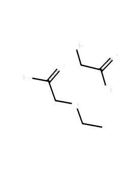 CCOCC(=O)O.O=C(O)CO